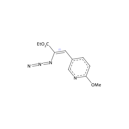 CCOC(=O)/C(=C/c1ccc(OC)nc1)N=[N+]=[N-]